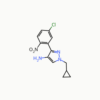 Nc1cn(CC2CC2)nc1-c1cc(Cl)ccc1[N+](=O)[O-]